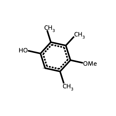 COc1c(C)[c]c(O)c(C)c1C